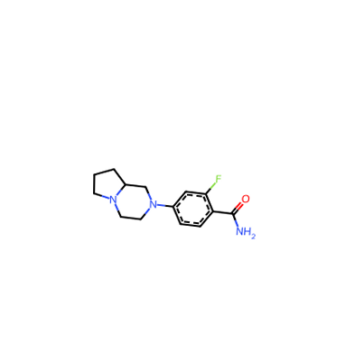 NC(=O)c1ccc(N2CCN3CCCC3C2)cc1F